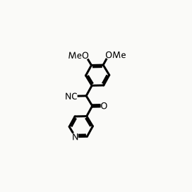 COc1ccc(C(C#N)C(=O)c2ccncc2)cc1OC